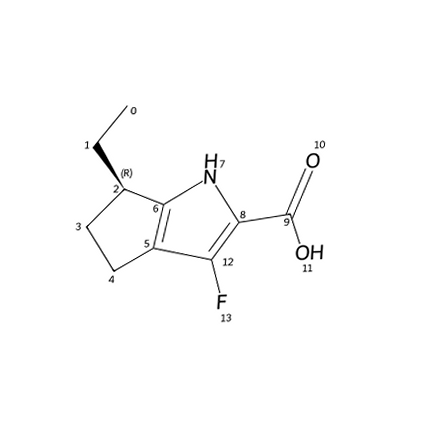 CC[C@@H]1CCc2c1[nH]c(C(=O)O)c2F